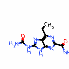 CCc1nc(C(N)=O)nc2[nH]c(NC(N)=O)nc12